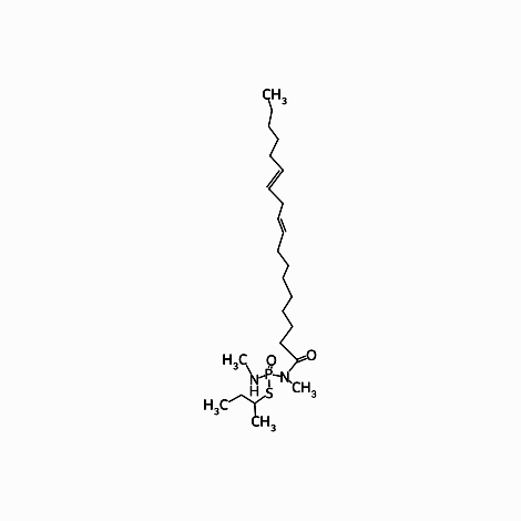 CCCCCC=CCC=CCCCCCCCC(=O)N(C)P(=O)(NC)SC(C)CC